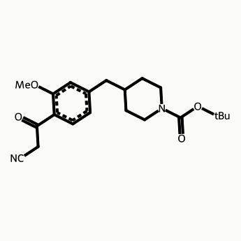 COc1cc(CC2CCN(C(=O)OC(C)(C)C)CC2)ccc1C(=O)CC#N